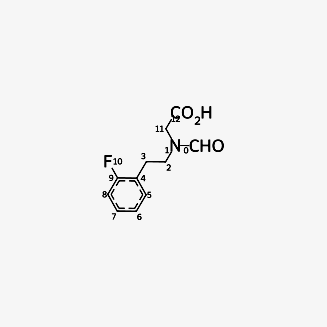 O=CN(CCc1ccccc1F)CC(=O)O